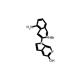 Br.Nc1cccc2cnc(-n3ccc4cc(O)ncc43)cc12